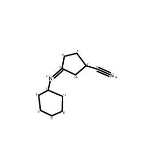 N#CC1CCC(=NC2CCCCC2)C1